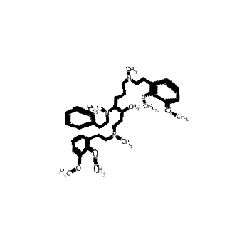 [CH2]C(CCN(C)CCc1cccc(OC)c1OC)C(CCCN(C)CCc1cccc(OC)c1OC)N(C)CCc1ccccc1